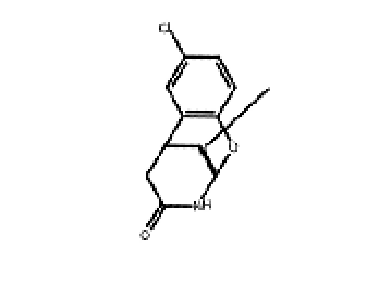 CN1CCC23NC(=O)CC(c4cc(Cl)ccc4O2)C3C1